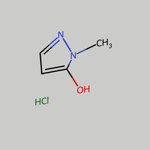 Cl.Cn1nccc1O